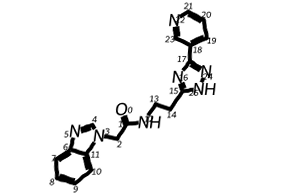 O=C(Cn1cnc2ccccc21)NCCc1nc(-c2cccnc2)n[nH]1